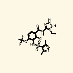 CCN1NNN=C1NC(=O)c1ccc(OC(F)(F)F)c(NS(=O)(=O)c2c(C)noc2C)c1Cl